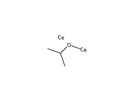 CC(C)[O][Ce].[Ce]